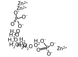 O.O.O.O.O.O.O.O.O=P([O-])([O-])[O-].O=P([O-])([O-])[O-].[Zn+2].[Zn+2].[Zn+2]